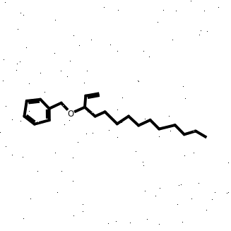 C=CC(CCCCCCCCCCC)OCc1ccccc1